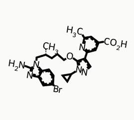 Cc1cc(C(=O)O)cc(-c2cnn(C3CC3)c2OCCC[C@@H](C)Cn2c(N)nc3cc(Br)ccc32)n1